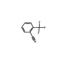 N#Cc1ccc[c]c1C(F)(F)F